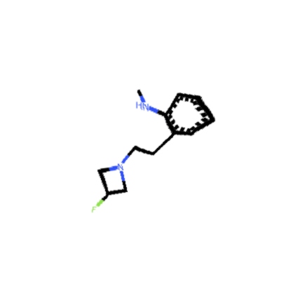 CNc1ccccc1CCN1CC(F)C1